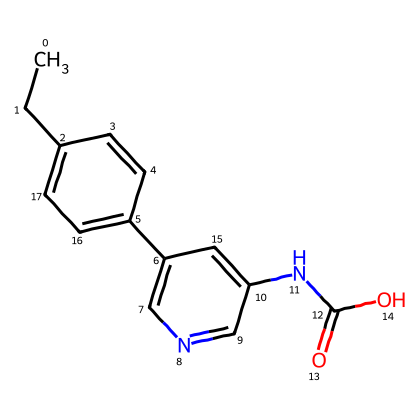 CCc1ccc(-c2cncc(NC(=O)O)c2)cc1